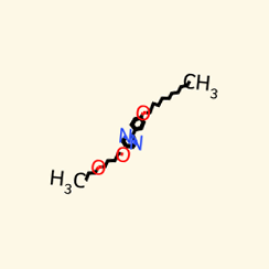 CCCCCCCCCCOc1ccc(-c2ncc(OCCCCOCCCC)cn2)cc1